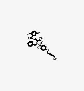 O=C(O)C1CN(C(=O)c2cc(Cl)ccc2Cl)c2ccccc2CN1S(=O)(=O)c1ccc(OCC#CCO)cc1